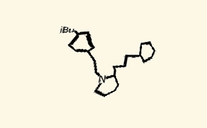 CCC(C)c1ccc(CCN2CCCCC2CCCC2CCCCC2)cc1